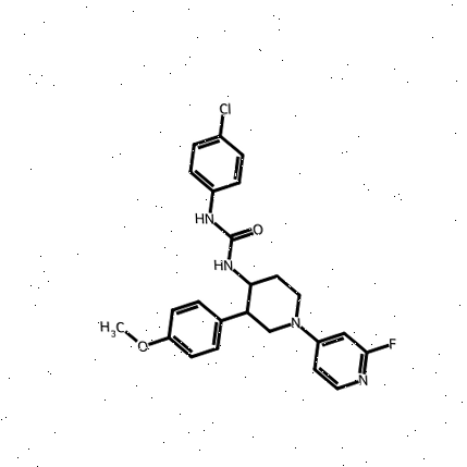 COc1ccc(C2CN(c3ccnc(F)c3)CCC2NC(=O)Nc2ccc(Cl)cc2)cc1